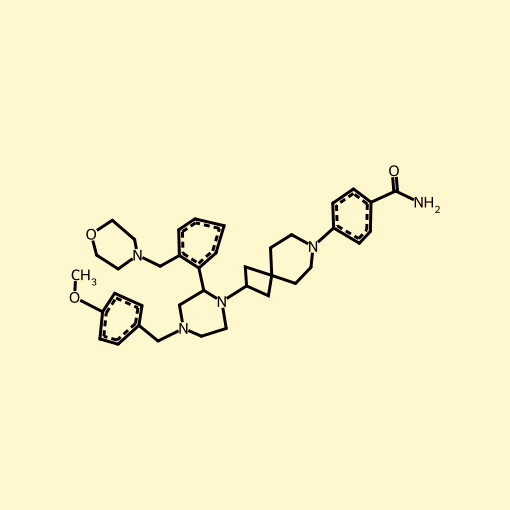 COc1ccc(CN2CCN(C3CC4(CCN(c5ccc(C(N)=O)cc5)CC4)C3)C(c3ccccc3CN3CCOCC3)C2)cc1